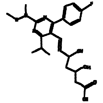 CSN(C)c1nc(-c2ccc(F)cc2)c(/C=C/C(O)CC(O)CC(=O)O)c(C(C)C)n1